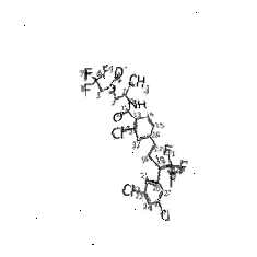 CC(C[S+]([O-])CC(F)(F)F)NC(=O)c1ccc(/C=C/C(c2cc(Cl)cc(Cl)c2)C(F)(F)F)cc1Cl